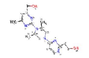 Cc1cc(CO)nc(N2[C@H](C)CN(c3ccnc(CCO)n3)C[C@@H]2C)n1